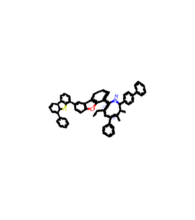 CC/C1=C(\C2=CCCC3=C2OC2C=CC(c4cccc5c4SC4C(c6ccccc6)=CC=CC54)=CC32)NC(c2ccc(-c3ccccc3)cc2)C(C)/C(C)=C(/c2ccccc2)C1